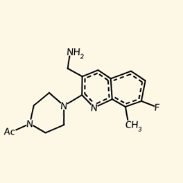 CC(=O)N1CCN(c2nc3c(C)c(F)ccc3cc2CN)CC1